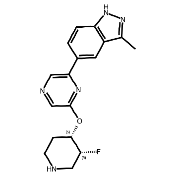 Cc1n[nH]c2ccc(-c3cncc(O[C@H]4CCNC[C@H]4F)n3)cc12